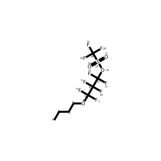 CCCCOC(F)(F)C(F)(F)C(F)(F)OS(=O)(=O)C(F)(F)F